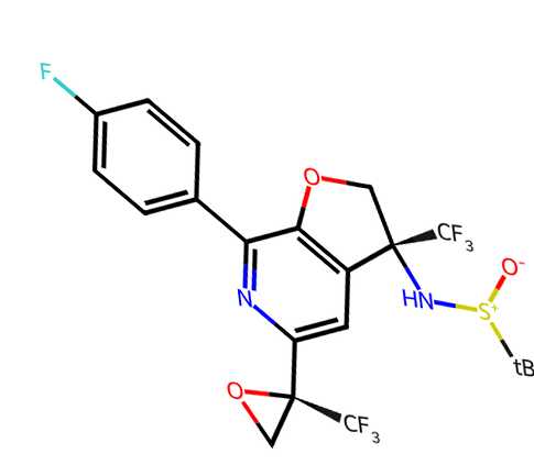 CC(C)(C)[S+]([O-])N[C@@]1(C(F)(F)F)COc2c1cc([C@]1(C(F)(F)F)CO1)nc2-c1ccc(F)cc1